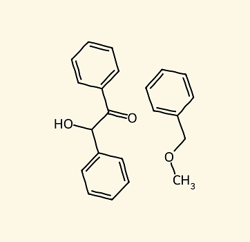 COCc1ccccc1.O=C(c1ccccc1)C(O)c1ccccc1